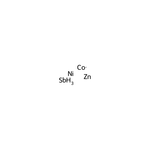 [Co].[Ni].[SbH3].[Zn]